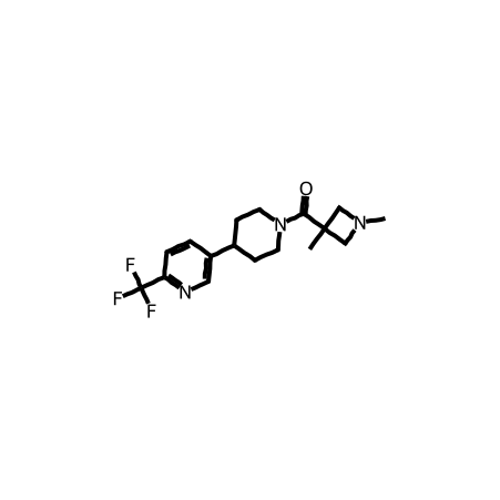 CN1CC(C)(C(=O)N2CCC(c3ccc(C(F)(F)F)nc3)CC2)C1